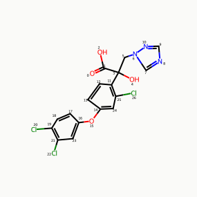 O=C(O)C(O)(Cn1cncn1)c1ccc(Oc2ccc(Cl)c(Cl)c2)cc1Cl